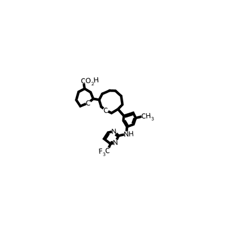 Cc1cc(Nc2nccc(C(F)(F)F)n2)cc(C2CCCCCC(C3CCCCC(C(=O)O)C3)CCC2)c1